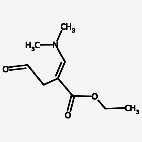 CCOC(=O)C(=CN(C)C)CC=O